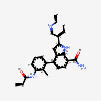 C=C/N=C\C(=C/C)c1cc2c(-c3cccc(NC(=O)C=C)c3C)ccc(C(N)=O)c2[nH]1